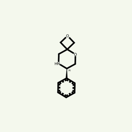 c1ccc([C@@H]2COC3(CN2)COC3)cc1